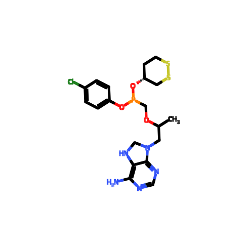 CC(CN1CNc2c(N)ncnc21)OCP(Oc1ccc(Cl)cc1)O[C@@H]1CCSSC1